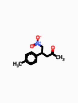 CC(=O)CC(C[N+](=O)[O-])c1ccc(C)cc1